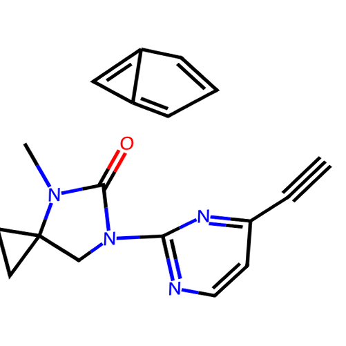 C#Cc1ccnc(N2CC3(CC3)N(C)C2=O)n1.c1cc2cc-2c1